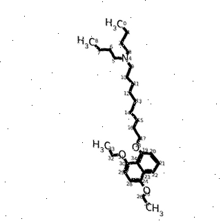 CCCCN(CCCC)CCCCCCCCCOc1cccc2c(OCC)ccc(OCC)c12